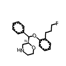 FCCCc1ccccc1OC(c1ccccc1)[C@@H]1CNCCO1